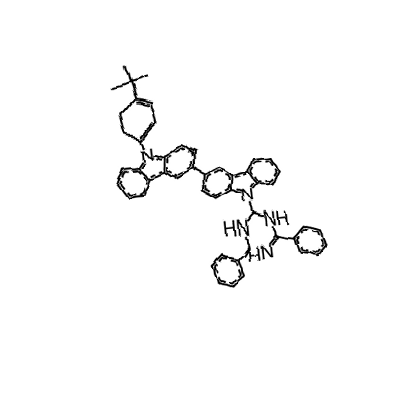 CC(C)(C)C1=CC=C(n2c3ccccc3c3cc(-c4ccc5c(c4)c4ccccc4n5C(NCc4ccccc4)NC(=N)c4ccccc4)ccc32)CC1